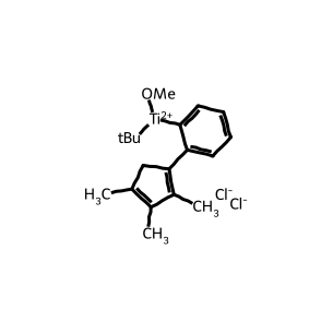 C[O][Ti+2]([c]1ccccc1C1=C(C)C(C)=C(C)C1)[C](C)(C)C.[Cl-].[Cl-]